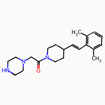 Cc1cccc(C)c1C=CC1CCN(C(=O)CN2CCNCC2)CC1